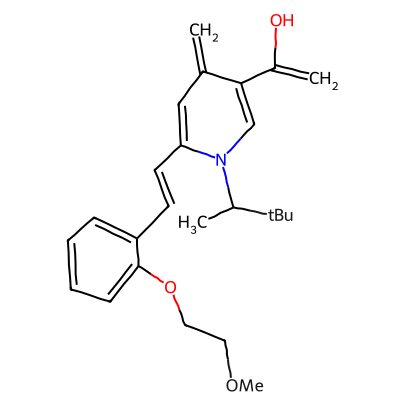 C=C(O)C1=CN(C(C)C(C)(C)C)C(/C=C/c2ccccc2OCCOC)=CC1=C